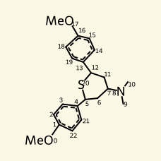 COc1ccc(C2CC(N(C)C)CC(c3ccc(OC)cc3)S2)cc1